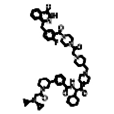 O=C(N[C@@H](C(=O)N1CCN(CC2CCN(CC(=O)N3CCN(C(=O)c4cc(Cc5n[nH]c(=O)c6ccccc56)ccc4F)CC3)CC2)CC1)C1CCCCC1)c1cccc(C2CCCN(C(=O)CN(C3CC3)C3CC3)C2)c1